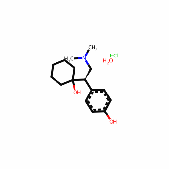 CN(C)C[C@@H](c1ccc(O)cc1)C1(O)CCCCC1.Cl.O